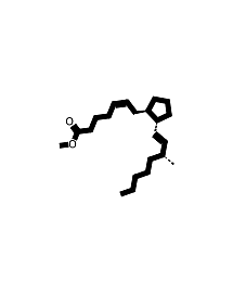 CCCCC[C@@H](C)/C=C/[C@H]1CCC[C@@H]1C/C=C\CCCC(=O)OC